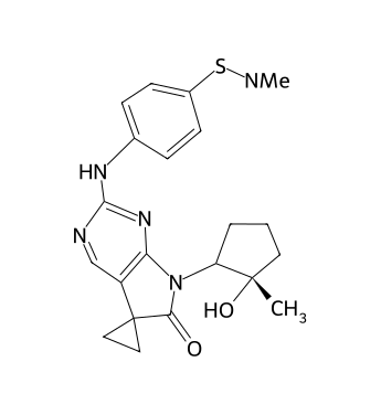 CNSc1ccc(Nc2ncc3c(n2)N(C2CCC[C@]2(C)O)C(=O)C32CC2)cc1